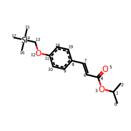 CC(C)OC(=O)/C=C/c1ccc(OC[Si](C)(C)C)cc1